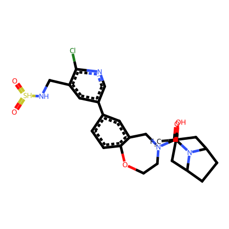 O=C(N1CCOc2ccc(-c3cnc(Cl)c(CN[SH](=O)=O)c3)cc2C1)N1C2CCC1CC(O)(C(F)(F)F)C2